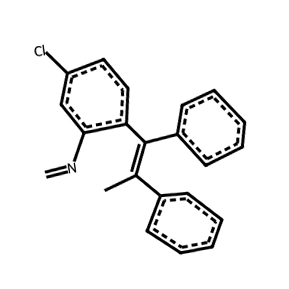 C=Nc1cc(Cl)ccc1/C(=C(\C)c1ccccc1)c1ccccc1